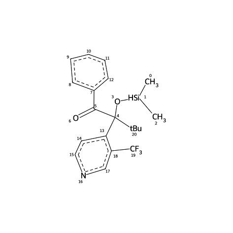 C[SiH](C)OC(C(=O)c1ccccc1)(c1ccncc1C(F)(F)F)C(C)(C)C